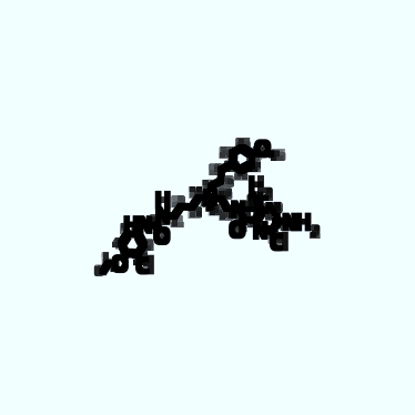 CCOc1ccc(NC(=O)NCCCC[N+](C)(CCCc2ccc(OC)cc2)CCNC(=O)c2nc(Cl)c(N)nc2N)cc1Cl